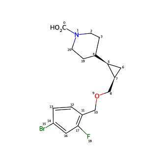 O=C(O)N1CCC([C@H]2C[C@H]2COCc2ccc(Br)cc2F)CC1